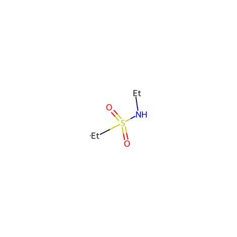 [CH2]CNS(=O)(=O)[CH]C